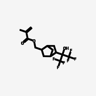 C=C(C)C(=O)OCC1CC2CC1CC2C(O)(C(F)(F)F)C(F)(F)F